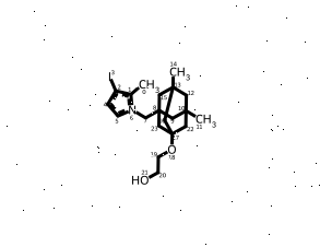 Cc1c(I)ccn1CC12CC3(C)CC(C)(C1)CC(OCCO)(C3)C2